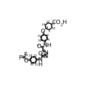 O=C(Nc1ccc(O[C@H]2CC[C@@H](C(=O)O)CC2)cc1)c1nnc(Nc2ccc(OC(F)F)cc2)o1